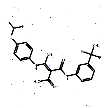 CC(=N)/C(C(=O)Nc1cccc(C(C)(F)F)c1)=C(/N)Nc1ccc(OC(F)F)cc1